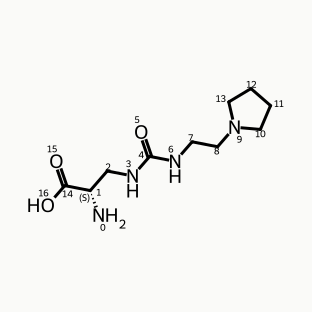 N[C@@H](CNC(=O)NCCN1CCCC1)C(=O)O